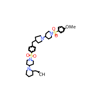 C#CCC1CCCCN1C1CCN(S(=O)(=O)c2ccc(CC3CCN(C4CCN(S(=O)(=O)c5ccc(OC)cc5)CC4)CC3)cc2)CC1